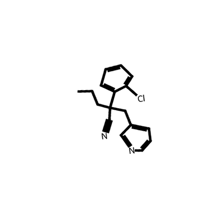 CCCC(C#N)(Cc1cccnc1)c1ccccc1Cl